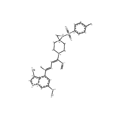 C=N/C(=C\C=C(/C)c1cc(OCC)cn2ncc(C#N)c12)N1CCC2(CC1)CN2S(=O)(=O)c1ccc(C)cc1